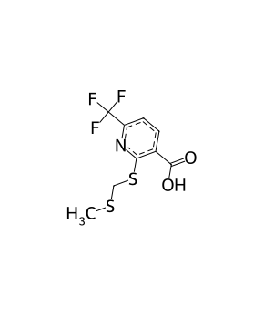 CSCSc1nc(C(F)(F)F)ccc1C(=O)O